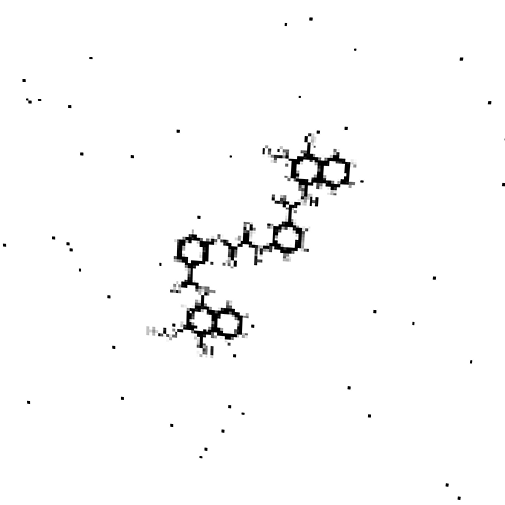 O=C(Nc1cccc(C(=O)Nc2cc(S(=O)(=O)O)c(O)c3ccccc23)c1)C(=O)Nc1cccc(C(=O)Nc2cc(S(=O)(=O)O)c(O)c3ccccc23)c1